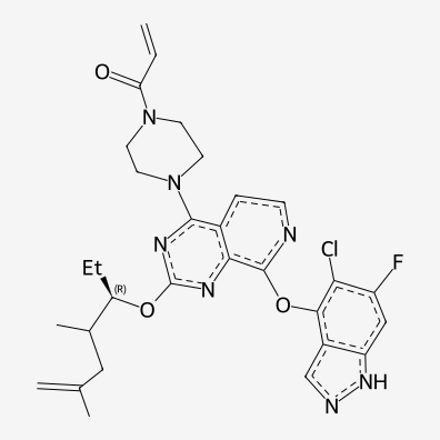 C=CC(=O)N1CCN(c2nc(O[C@H](CC)C(C)CC(=C)C)nc3c(Oc4c(Cl)c(F)cc5[nH]ncc45)nccc23)CC1